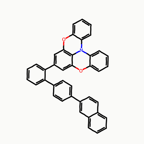 c1ccc2c(c1)Oc1cc(-c3ccccc3-c3ccc(-c4ccc5ccccc5c4)cc3)cc3c1N2c1ccccc1O3